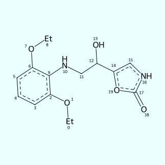 CCOc1cccc(OCC)c1NCC(O)c1c[nH]c(=O)o1